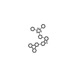 c1ccc(-c2nc(-c3ccccc3)nc(-c3cccc(-c4cccc5sc6ccc(-c7ccc8c9ccccc9c9ccccc9c8c7)cc6c45)c3)n2)cc1